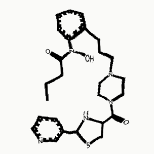 CCCC(=O)N(O)c1ccccc1CCCN1CCN(C(=O)C2CSC(c3cccnc3)N2)CC1